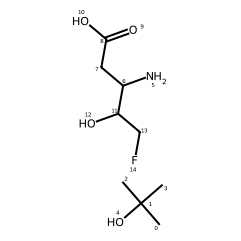 CC(C)(C)O.NC(CC(=O)O)C(O)CF